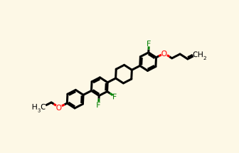 C=CCCOc1ccc(C2CCC(c3ccc(-c4ccc(OCC)cc4)c(F)c3F)CC2)cc1F